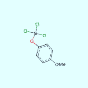 COc1ccc(O[Si](Cl)(Cl)Cl)cc1